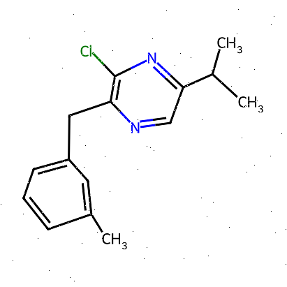 Cc1cccc(Cc2ncc(C(C)C)nc2Cl)c1